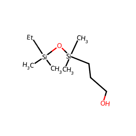 CC[Si](C)(C)O[Si](C)(C)CCCO